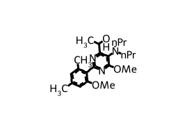 CCCN(CCC)c1c(OC)nc(-c2c(C)cc(C)cc2OC)nc1C(C)O